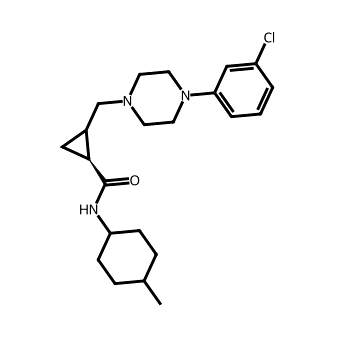 CC1CCC(NC(=O)[C@H]2CC2CN2CCN(c3cccc(Cl)c3)CC2)CC1